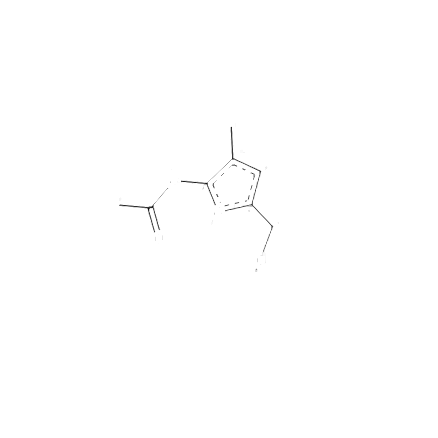 CC(=O)Oc1oc(CCl)cc1C